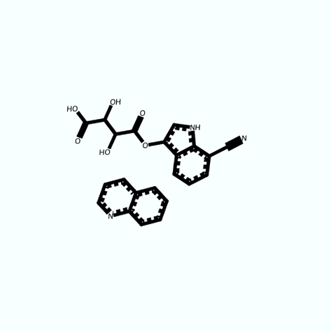 N#Cc1cccc2c(OC(=O)C(O)C(O)C(=O)O)c[nH]c12.c1ccc2ncccc2c1